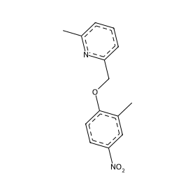 Cc1cccc(COc2ccc([N+](=O)[O-])cc2C)n1